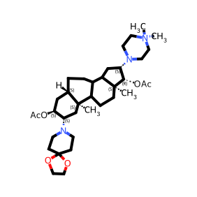 CC(=O)O[C@H]1C[C@@H]2CCC3C4C[C@H](N5CC[N+](C)(C)CC5)[C@H](OC(C)=O)[C@@]4(C)CCC3[C@@]2(C)C[C@@H]1N1CCC2(CC1)OCCO2